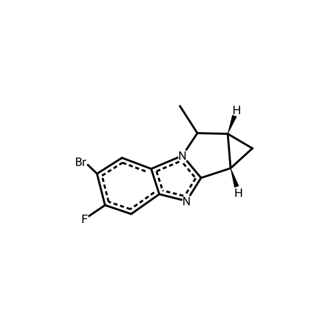 CC1[C@@H]2C[C@@H]2c2nc3cc(F)c(Br)cc3n21